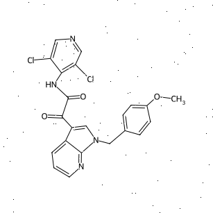 COc1ccc(Cn2cc(C(=O)C(=O)Nc3c(Cl)cncc3Cl)c3cccnc32)cc1